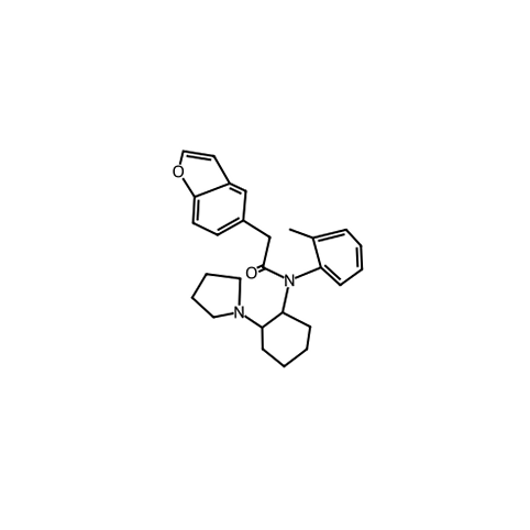 Cc1ccccc1N(C(=O)Cc1ccc2occc2c1)C1CCCCC1N1CCCC1